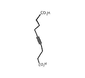 O=C(O)CCC#CCCCC(=O)O